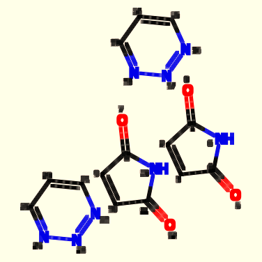 O=C1C=CC(=O)N1.O=C1C=CC(=O)N1.c1cnnnc1.c1cnnnc1